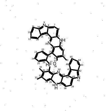 Cc1cc2[nH]c3ccc4nc5ccccc5c4c3nc2c(-c2ccccc2[PH](=O)c2c(C)c(C)cc3[nH]c4ccc5nc6ccccc6c5c4nc23)c1C